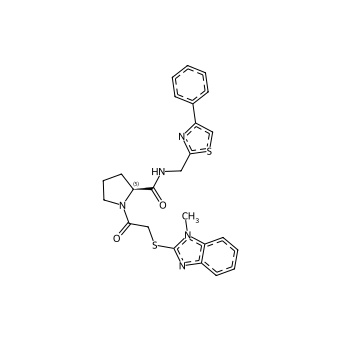 Cn1c(SCC(=O)N2CCC[C@H]2C(=O)NCc2nc(-c3ccccc3)cs2)nc2ccccc21